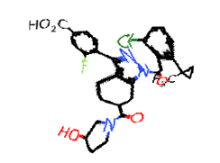 O=C(O)c1ccc(-c2nn(C(=O)c3c(Cl)cccc3C3(C(F)(F)F)CC3)c3c2CCC(C(=O)N2CCC(O)C2)C3)c(F)c1